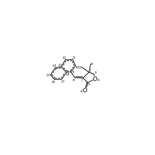 CC1(C)COC(=O)/C1=C/c1cccc2ccccc12